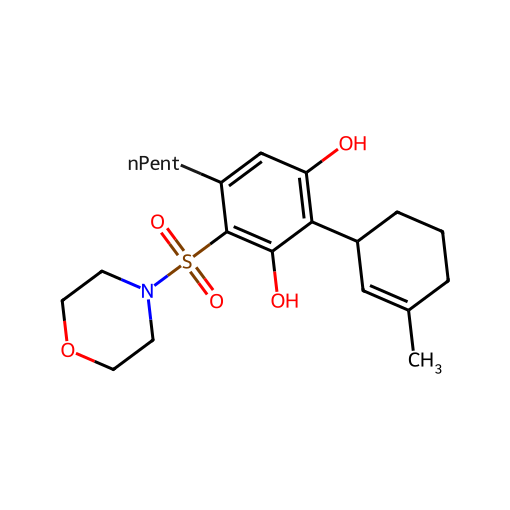 CCCCCc1cc(O)c(C2C=C(C)CCC2)c(O)c1S(=O)(=O)N1CCOCC1